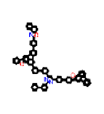 c1ccc(-c2cccc(-c3nc(-c4ccc(-c5ccc6c(c5)oc5c7cccc8c7c(cc65)-c5ccccc5-8)cc4)cc(-c4cccc(-c5cccc(-c6cc7c8c(cc9c%10ccccc%10oc9c8c6)-c6cc(-c8ccc(-c9nc%10c(ccc%11ccccc%11%10)o9)cc8)ccc6-7)c5)c4)n3)c2)cc1